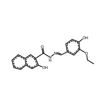 CCOc1cc(/C=N/NC(=O)c2cc3ccccc3cc2O)ccc1O